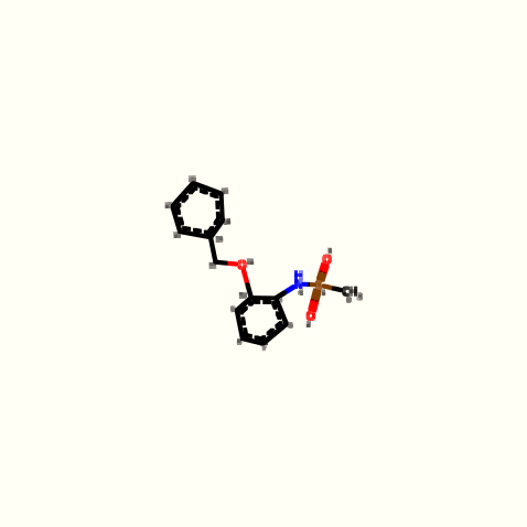 CS(=O)(=O)Nc1c[c]ccc1OCc1ccccc1